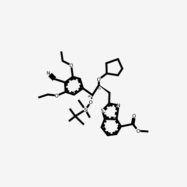 CCOc1cc([C@@H](O[Si](C)(C)C(C)(C)C)[C@H](Cc2nc3c(C(=O)OC)cccc3s2)OC2CCCC2)cc(OCC)c1C#N